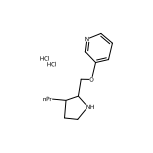 CCCC1CCNC1COc1cccnc1.Cl.Cl